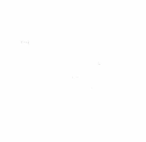 CCOCc1ccccc1-c1ccc(C(C)CC2CC2/C=C/c2cccc(C(C)(C)C)c2)s1